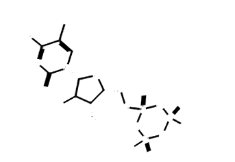 Cc1cn([C@@H]2O[C@H](COP3(=O)OP(=O)(O)OP(=O)(O)O3)[C@H](O)C2O)c(=O)nc1N